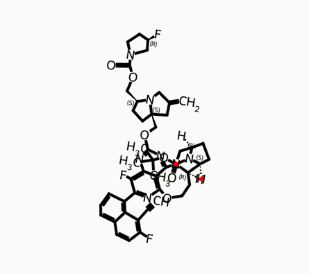 C#Cc1c(F)ccc2cccc(-c3nc4c5c(nc(OC[C@@]67CC[C@@H](COC(=O)N8CC[C@@H](F)C8)N6CC(=C)C7)nc5c3F)N3C[C@H]5CC[C@@H]([C@H]3CCO4)N5C(=O)OC(C)(C)C)c12